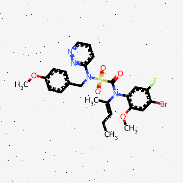 CC/C=C(\C)N(C(=O)S(=O)(=O)N(Cc1ccc(OC)cc1)c1cccnn1)c1cc(F)c(Br)cc1OC